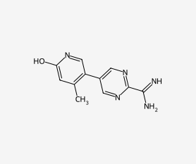 Cc1cc(O)ncc1-c1cnc(C(=N)N)nc1